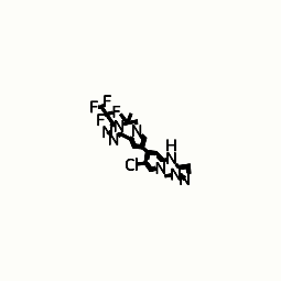 Cn1nccc1Nc1cc(-c2cc3n(c2)CC(C)(C)n2c-3nnc2C(F)(F)C(F)F)c(Cl)cn1